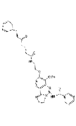 COc1c(OCCNC(=O)CCCC(=O)C=Cc2ccccc2)ccc2c1N=C(NC(=O)c1cccnc1)N1CCN=C21